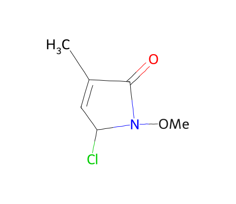 CON1C(=O)C(C)=CC1Cl